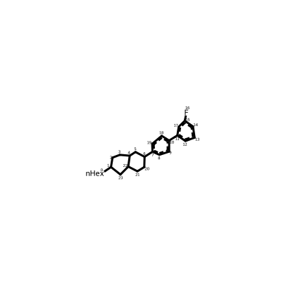 CCCCCCC1CCC2CC(c3ccc(-c4cccc(F)c4)cc3)CCC2C1